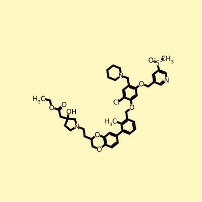 CCOC(=O)CC1(O)CCN(CCC2COc3ccc(-c4cccc(COc5cc(OCc6cncc([S+](C)[O-])c6)c(CN6CCCCC6)cc5Cl)c4C)cc3O2)C1